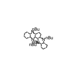 CCCCn1c2ccccc2n(CCCC)c2c1ccc1c2n(CCCC)c2ccccc2n1CCCC